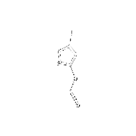 O=COc1cc(I)cs1